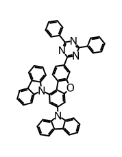 c1ccc(-c2nc(-c3ccccc3)nc(-c3ccc4c(c3)oc3cc(-n5c6ccccc6c6ccccc65)cc(-n5c6ccccc6c6ccccc65)c34)n2)cc1